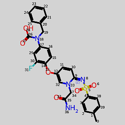 Cc1ccc(S(=O)(=O)/N=c2/ccc(Oc3ccc(N(Cc4ccccc4)C(=O)O)cc3F)cn2CC(N)=O)cc1